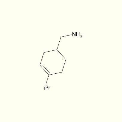 CC(C)C1=CCC(CN)CC1